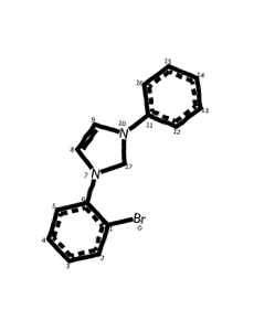 Brc1ccccc1N1C=CN(c2ccccc2)C1